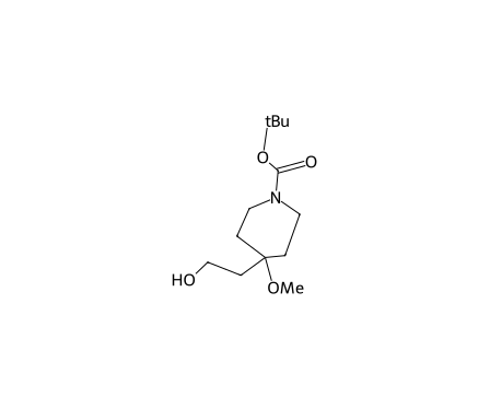 COC1(CCO)CCN(C(=O)OC(C)(C)C)CC1